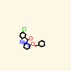 Nc1ccc(Cl)cc1C(=O)c1ccccc1OCc1ccccc1